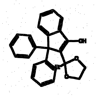 CCC1(C2=C(O)c3ccccc3C2(c2ccccc2)c2ccccc2)OCCO1